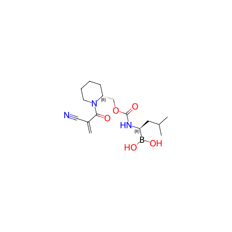 C=C(C#N)C(=O)N1CCCC[C@@H]1COC(=O)N[C@@H](CC(C)C)B(O)O